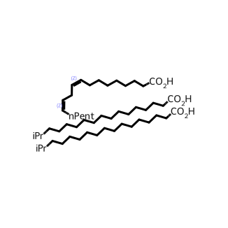 CC(C)CCCCCCCCCCCCCCC(=O)O.CC(C)CCCCCCCCCCCCCCC(=O)O.CCCCC/C=C\C/C=C\CCCCCCCC(=O)O